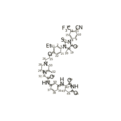 CCc1cc(N2C(=S)N(c3ccc(C#N)c(C(F)(F)F)c3)C(=O)C2(C)C)ccc1OCCN1CCN([C@@H](C)C(=O)Nc2cccc(NC3CCC(=O)NC3=O)c2)[C@H](C)C1